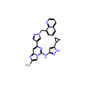 Cc1cn2c(Nc3cc(C4CC4)[nH]n3)nc(-c3cnn(Cc4cccc5cccnc45)c3)cc2n1